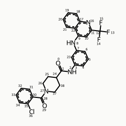 O=C(Nc1cccc(Nc2cc(C(F)(F)F)nc3ccccc23)c1)C1CCN(C(=O)c2ccccc2Cl)CC1